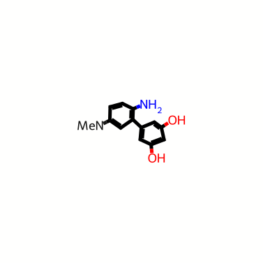 CNc1ccc(N)c(-c2cc(O)cc(O)c2)c1